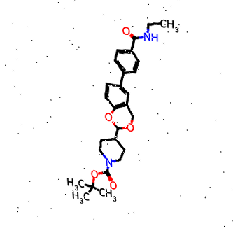 CCNC(=O)c1ccc(-c2ccc3c(c2)COC(C2CCN(C(=O)OC(C)(C)C)CC2)O3)cc1